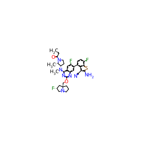 C=CC(=O)N1CC[C@H](N(C)c2nc(OC[C@@]34CCCN3C[C@H](F)C4)nc3cc(-c4ccc(F)c5sc(N)c(C#N)c45)c(F)cc23)[C@@H]1C